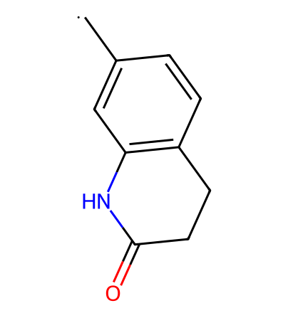 [CH2]c1ccc2c(c1)NC(=O)CC2